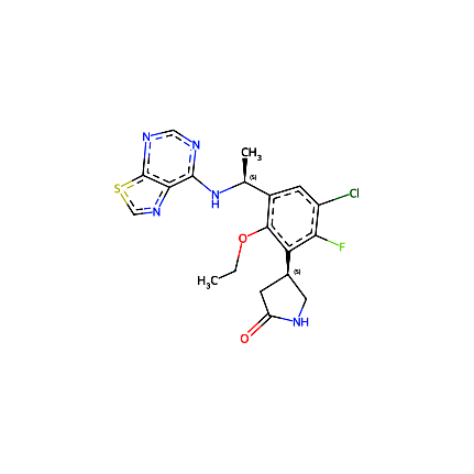 CCOc1c([C@H](C)Nc2ncnc3scnc23)cc(Cl)c(F)c1[C@H]1CNC(=O)C1